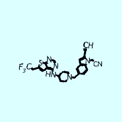 C#Cc1cc2cc(CN3CCC(Nc4ncnc5sc(CC(F)(F)F)cc45)CC3)ccc2n1CC#N